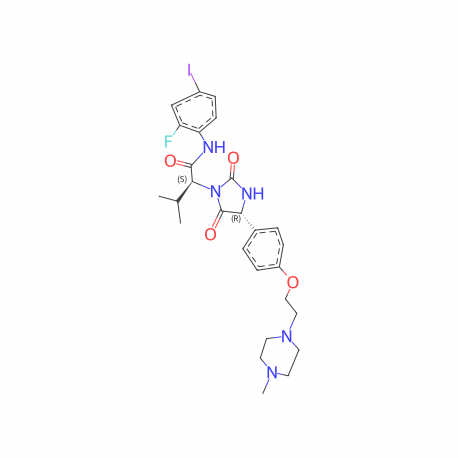 CC(C)[C@@H](C(=O)Nc1ccc(I)cc1F)N1C(=O)N[C@H](c2ccc(OCCN3CCN(C)CC3)cc2)C1=O